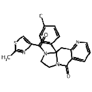 Cc1nc(C(=O)N2CCN3C(=O)c4cccnc4CC23c2ccc(Cl)cc2)cs1